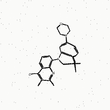 Cc1nc2c(N3CC(C)(C)c4ccc(N5CCOCC5)cc43)cccc2c(Cl)c1C